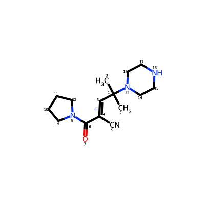 CC(C)(/C=C(\C#N)C(=O)N1CCCC1)N1CCNCC1